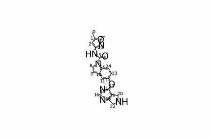 Cc1cc(NC(=O)n2ccc3cc(Oc4ncnc5c4CNC5)ccc32)no1